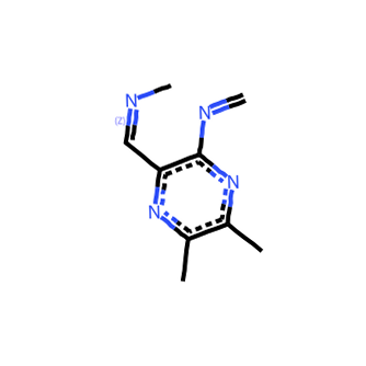 C=Nc1nc(C)c(C)nc1/C=N\C